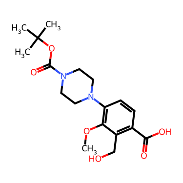 COc1c(N2CCN(C(=O)OC(C)(C)C)CC2)ccc(C(=O)O)c1CO